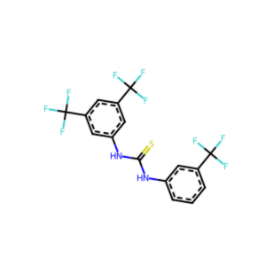 FC(F)(F)c1cccc(NC(=S)Nc2cc(C(F)(F)F)cc(C(F)(F)F)c2)c1